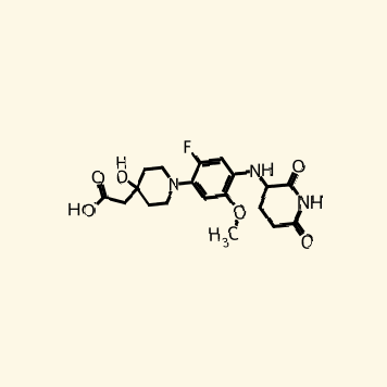 COc1cc(N2CCC(O)(CC(=O)O)CC2)c(F)cc1NC1CCC(=O)NC1=O